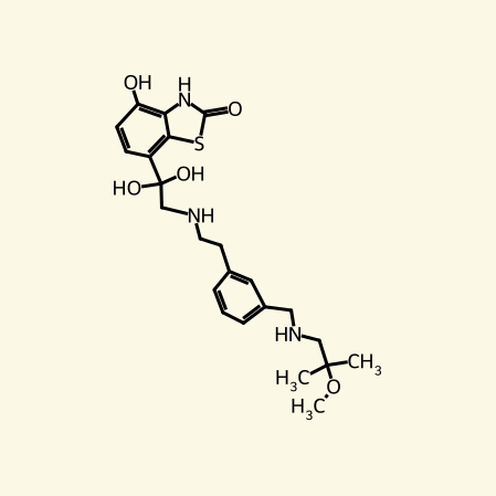 COC(C)(C)CNCc1cccc(CCNCC(O)(O)c2ccc(O)c3[nH]c(=O)sc23)c1